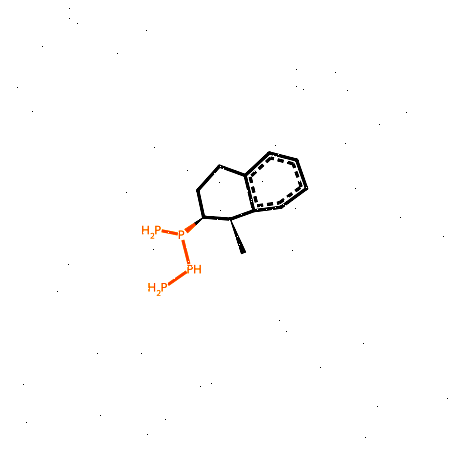 C[C@@H]1c2ccccc2CC[C@@H]1P(P)PP